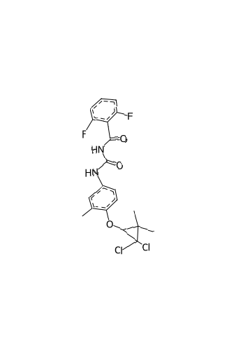 Cc1cc(NC(=O)NC(=O)c2c(F)cccc2F)ccc1OC1C(C)(C)C1(Cl)Cl